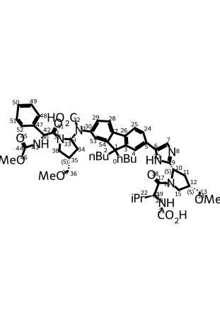 CCCCC1(CCCC)c2cc(-c3cnc([C@@H]4C[C@H](COC)CN4C(=O)[C@@H](NC(=O)O)C(C)C)[nH]3)ccc2-c2ccc(N(C(=O)O)[C@H]3C[C@H](COC)CN3C(=O)[C@H](NC(=O)OC)c3ccccc3)cc21